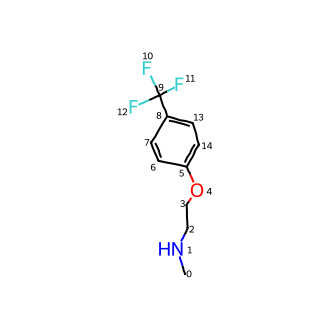 CNCCOc1ccc(C(F)(F)F)cc1